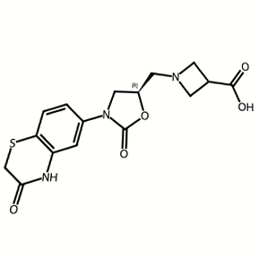 O=C1CSc2ccc(N3C[C@@H](CN4CC(C(=O)O)C4)OC3=O)cc2N1